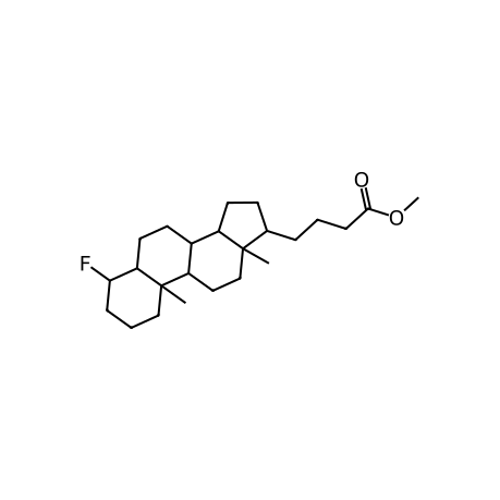 COC(=O)CCCC1CCC2C3CCC4C(F)CCCC4(C)C3CCC12C